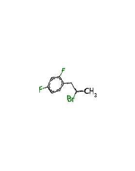 CC(Br)Cc1ccc(F)cc1F